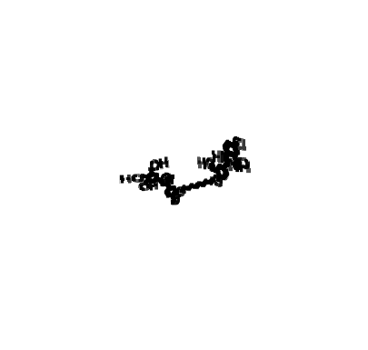 COc1ccc(-c2cc(-c3cc(CO)c(CO)c(CO)c3)on2)cc1OCCCCCCCCCOc1ccc(C2NC(=O)c3cc(Cl)ccc3N2)cc1CO